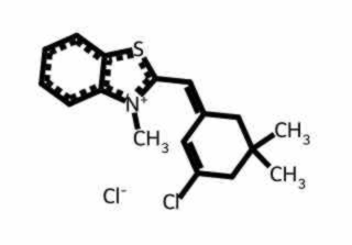 C[n+]1c(/C=C2\C=C(Cl)CC(C)(C)C2)sc2ccccc21.[Cl-]